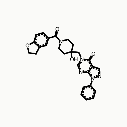 O=C(c1ccc2c(c1)CCO2)N1CCC(O)(Cn2cnc3c(cnn3-c3ccccc3)c2=O)CC1